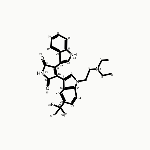 CCN(CC)CCn1cc(C2=C(c3c[nH]c4ccccc34)C(=O)NC2=O)c2cc(C(F)(F)F)ccc21